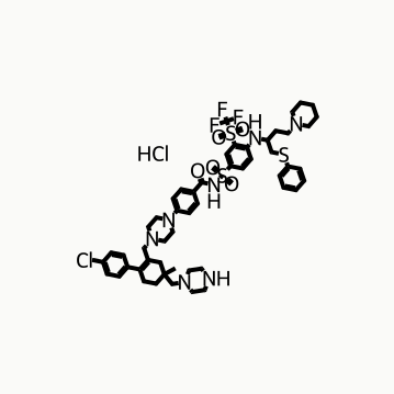 CC1(CN2CCNCC2)CCC(c2ccc(Cl)cc2)=C(CN2CCN(c3ccc(C(=O)NS(=O)(=O)c4ccc(NC(CCN5CCCCC5)CSc5ccccc5)c(S(=O)(=O)C(F)(F)F)c4)cc3)CC2)C1.Cl